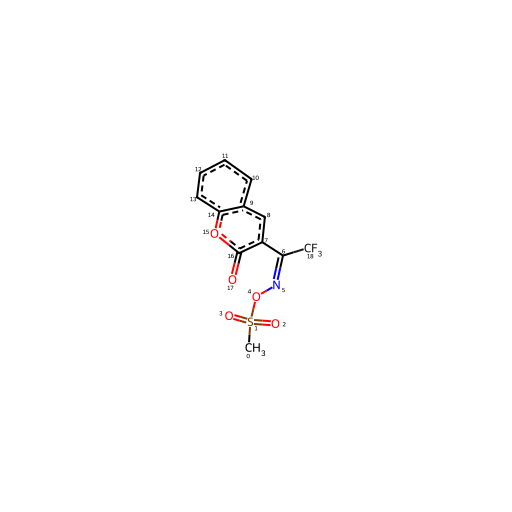 CS(=O)(=O)O/N=C(\c1cc2ccccc2oc1=O)C(F)(F)F